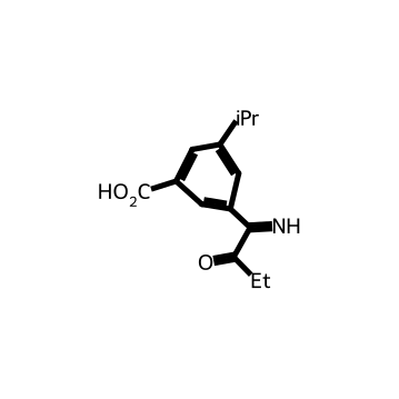 CCC(=O)C(=N)c1cc(C(=O)O)cc(C(C)C)c1